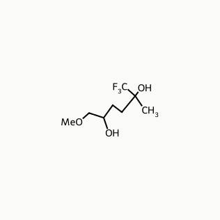 COCC(O)CCC(C)(O)C(F)(F)F